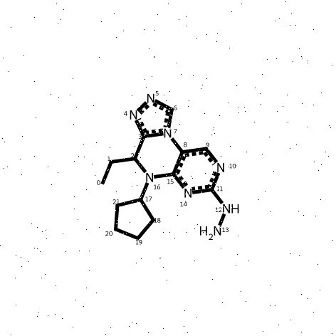 CCC1c2nncn2-c2cnc(NN)nc2N1C1CCCC1